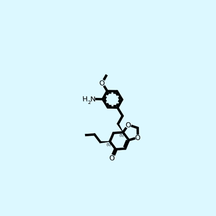 CCC[C@H]1C[C@]2(CCc3ccc(OC)c(N)c3)OCOC2=CC1=O